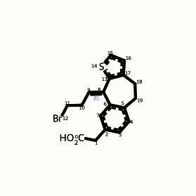 O=C(O)Cc1ccc2c(c1)/C(=C\CCBr)c1sccc1CC2